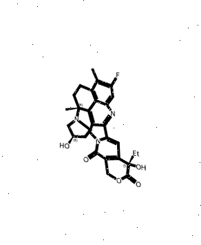 CC[C@@]1(O)C(=O)OCc2c1cc1n(c2=O)Cc2c-1nc1cc(F)c(C)c3c1c2[C@](C)(N1CC[C@@H](O)C1)CC3